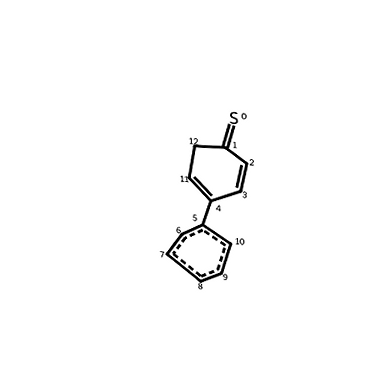 S=C1C=CC(c2ccccc2)=CC1